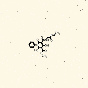 CCOC(=O)CNC(=O)c1c(O)c(C(=O)OC)c(O)n(-c2ccccc2)c1=O